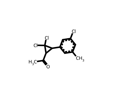 CC(=O)C1C(c2cc(C)cc(Cl)c2)C1(Cl)Cl